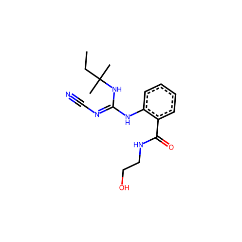 CCC(C)(C)N/C(=N\C#N)Nc1ccccc1C(=O)NCCO